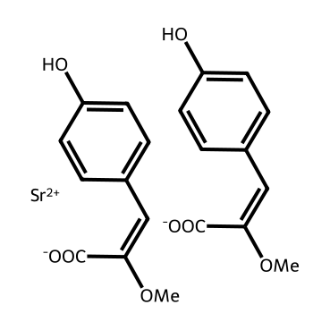 COC(=Cc1ccc(O)cc1)C(=O)[O-].COC(=Cc1ccc(O)cc1)C(=O)[O-].[Sr+2]